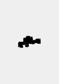 CC1(CCOC(=O)C[C@H](O[Si](C)(C)C(C)(C)C)C(=O)OCCC2(C)N=N2)N=N1